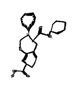 O=C(NO)C1C=C2OC[C@H](c3ccccc3)N(C(=O)NC3CCCCC3)CC2=CC1